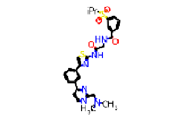 CC(C)S(=O)(=O)c1cccc(C(=O)NCC(=O)Nc2nc(-c3cccc(-c4ccnc(CN(C)C)n4)c3)cs2)c1